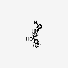 N#Cc1cccc(CNc2ncc(C(O)c3ccc4c(c3)OCCO4)cn2)c1